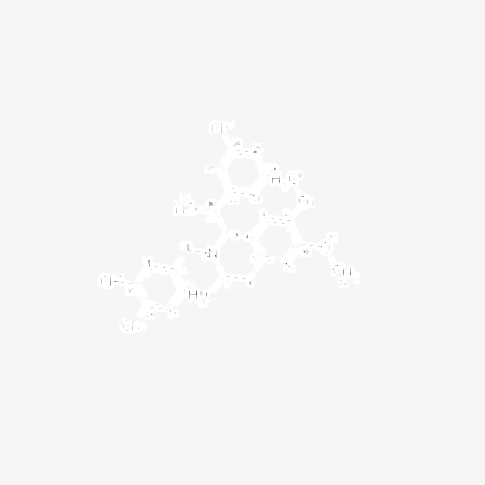 COc1ccc(CC(C)N(Cc2ccc(Cl)c(Cl)c2)C[C@H](O)c2cccc(Cl)c2)cc1OC